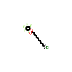 C[Si](C)(Cl)CCCCCCCCCCC(=O)Oc1c(F)c(F)c(F)c(F)c1F